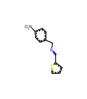 O=[N+]([O-])c1ccc(C/N=C/c2cccs2)cc1